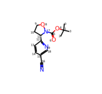 CC(C)(C)OC(=O)N1OCC[C@@H]1c1ccc(C#N)cn1